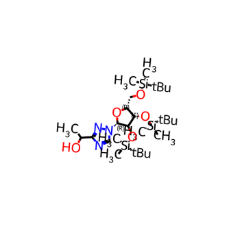 CC(O)c1ncn([C@@H]2O[C@H](CO[Si](C)(C)C(C)(C)C)[C@H](O[Si](C)(C)C(C)(C)C)C2O[Si](C)(C)C(C)(C)C)n1